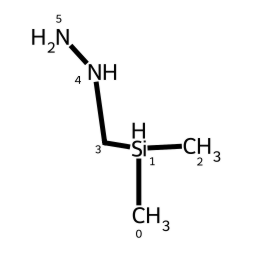 C[SiH](C)CNN